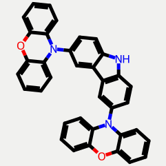 c1ccc2c(c1)Oc1ccccc1N2c1ccc2[nH]c3ccc(N4c5ccccc5Oc5ccccc54)cc3c2c1